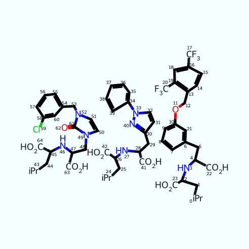 CC(C)CC(NC(Cc1cccc(OCc2ccc(C(F)(F)F)cc2C(F)(F)F)c1)C(=O)O)C(=O)O.CC(C)CC(NC(Cc1ccn(-c2ccccc2)n1)C(=O)O)C(=O)O.CC(C)CC(NC(Cn1ccn(Cc2cccc(Cl)c2)c1=O)C(=O)O)C(=O)O